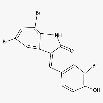 O=C1Nc2c(Br)cc(Br)cc2C1=Cc1ccc(O)c(Br)c1